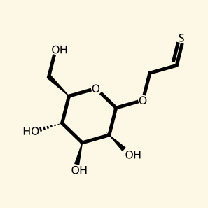 OC[C@H]1OC(OCC=S)[C@@H](O)[C@@H](O)[C@@H]1O